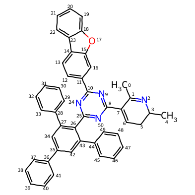 CC1=NC(C)CC=C1c1nc(-c2ccc3c(c2)oc2ccccc23)nc(-c2c(-c3ccccc3)cc(-c3ccccc3)cc2-c2ccccc2)n1